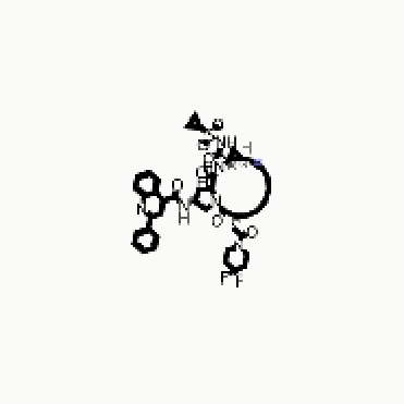 O=C(N[C@@H]1C[C@H]2C(=O)N[C@]3(C(=O)NS(=O)(=O)C4CC4)C[C@H]3/C=C\CCCCC[C@H](CC(=O)N3CCC(F)(F)CC3)C(=O)N2C1)c1cc(-c2ccccc2)nc2ccccc12